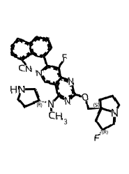 CN(c1nc(OC[C@@]23CCCN2C[C@H](F)C3)nc2c(F)c(-c3cccc4cccc(C#N)c34)ncc12)[C@@H]1CCNC1